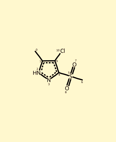 Cc1[nH]nc(S(C)(=O)=O)c1Cl